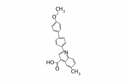 CCOc1ccc(-c2ccc(-c3cc(C(=O)O)c4cc(C)ccc4n3)cc2)cc1